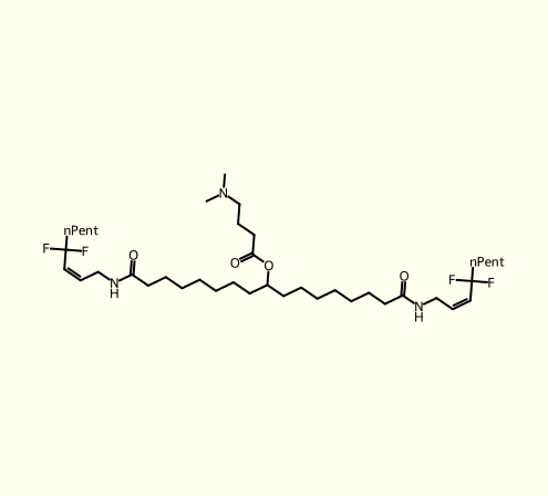 CCCCCC(F)(F)/C=C\CNC(=O)CCCCCCCC(CCCCCCCC(=O)NC/C=C\C(F)(F)CCCCC)OC(=O)CCCN(C)C